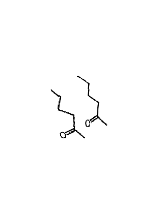 CCCCC(C)=O.CCCCC(C)=O